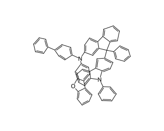 c1ccc(-c2ccc(N(c3ccc4c(c3)C(c3ccccc3)(c3ccc5c(c3)c3ccccc3n5-c3ccccc3)c3ccccc3-4)c3ccc4c(c3)oc3ccccc34)cc2)cc1